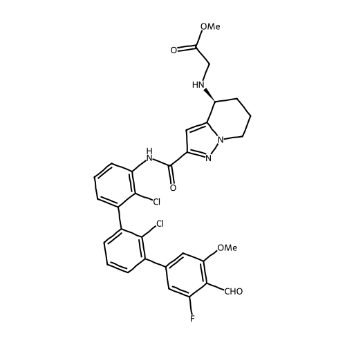 COC(=O)CN[C@H]1CCCn2nc(C(=O)Nc3cccc(-c4cccc(-c5cc(F)c(C=O)c(OC)c5)c4Cl)c3Cl)cc21